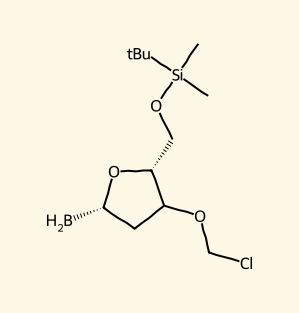 B[C@H]1CC(OCCl)[C@@H](CO[Si](C)(C)C(C)(C)C)O1